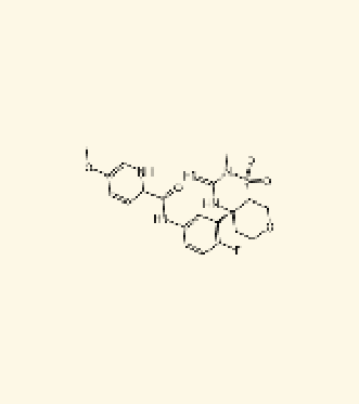 COC1=CNC(C(=O)Nc2ccc(F)c([C@]34CCOCC3S(=O)(=O)N(C)C(=N)N4)c2)C=C1